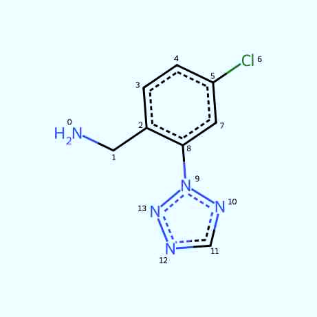 NCc1ccc(Cl)cc1-n1ncnn1